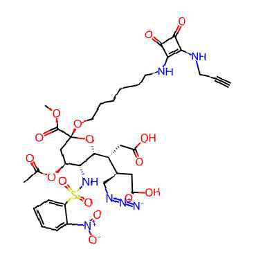 C#CCNc1c(NCCCCCCO[C@]2(C(=O)OC)C[C@H](OC(C)=O)[C@@H](NS(=O)(=O)c3ccccc3[N+](=O)[O-])[C@@H]([C@H](CC(=O)O)[C@H](CN=[N+]=[N-])CC(=O)O)O2)c(=O)c1=O